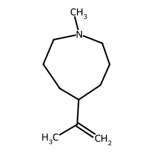 C=C(C)C1CCCN(C)CCC1